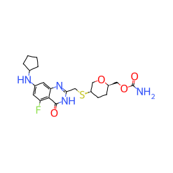 NC(=O)OC[C@H]1CC[C@@H](SCc2nc3cc(NC4CCCC4)cc(F)c3c(=O)[nH]2)CO1